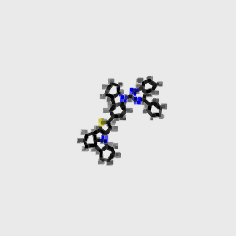 c1ccc(-c2nc(-n3c4ccccc4c4cc(-c5cc6c(s5)c5cccc7c8ccccc8n6c75)ccc43)nc3ccccc23)cc1